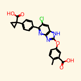 Cc1ccc(Oc2nc3nc(-c4ccc(C5(C(=O)O)CC5)cc4)c(Cl)cc3[nH]2)cc1C(=O)O